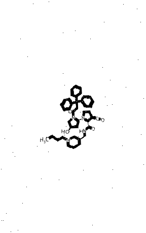 CCCCN1CCC[C@H](CNC(=O)[C@H]2C(=C=O)CCN2[C@@H]2C[C@@H](O)CN2C(=O)CC(c2ccccc2)(c2ccccc2)c2ccccc2)C1